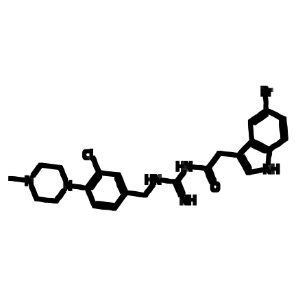 CN1CCN(c2ccc(CNC(=N)NC(=O)Cc3c[nH]c4ccc(Br)cc34)cc2Cl)CC1